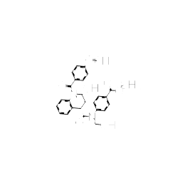 CCN(C(=O)[C@@H]1C[C@@H](C)N(C(=O)c2ccc(OC)cc2)c2ccccc21)c1ccc(C(=O)OC)cc1